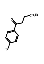 CCOC(=O)CCC(=O)c1ccc(Br)cc1